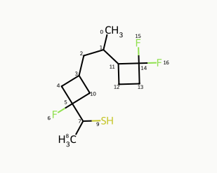 CC(CC1CC(F)(C(C)S)C1)C1CCC1(F)F